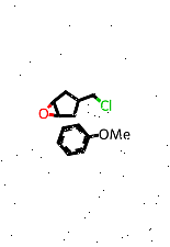 COc1ccccc1.ClCC1CC2OC2C1